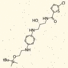 CC(C)(C)[Si](C)(C)OCCNc1ccc(NC[C@H](O)CNC(=O)c2ccc(Cl)s2)cc1